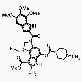 COC(=O)c1c(C)[nH]c2c(OC(=O)N3CCN(C)CC3)cc3c(c12)[C@H](CBr)CN3C(=O)c1cc2cc(OC)c(OC)c(OC)c2[nH]1